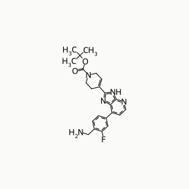 CC(C)(C)OC(=O)N1CC=C(c2nc3c(-c4ccc(CN)c(F)c4)ccnc3[nH]2)CC1